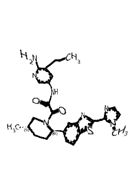 CCc1cc(NC(=O)C(=O)N2C[C@@H](C)CC[C@@H]2c2ccc3sc(-c4nccn4C)nc3c2)cnc1N